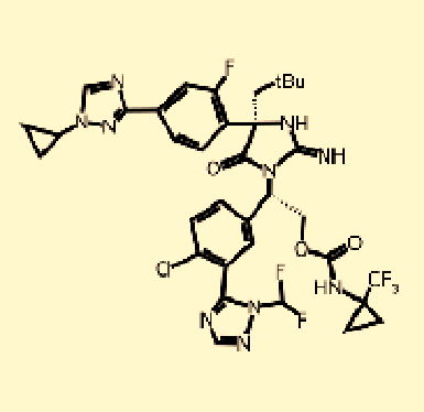 CC(C)(C)C[C@]1(c2ccc(-c3ncn(C4CC4)n3)cc2F)NC(=N)N([C@H](COC(=O)NC2(C(F)(F)F)CC2)c2ccc(Cl)c(-c3ncnn3C(F)F)c2)C1=O